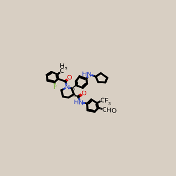 Cc1cccc(F)c1C(=O)N1CCC[C@H](C(=O)Nc2ccc(C=O)c(C(F)(F)F)c2)[C@@H]1c1ccc(NC2CCCC2)cc1